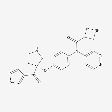 O=C(C1CNC1)N(c1ccc(O[C@]2(C(=O)c3ccsc3)CCNC2)cc1)c1ccnnc1